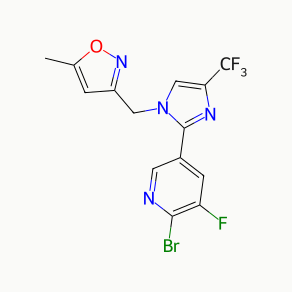 Cc1cc(Cn2cc(C(F)(F)F)nc2-c2cnc(Br)c(F)c2)no1